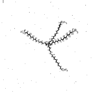 CCCCCCCCCCCCCCC[CH2][Pb]([CH2]CCCCCCCCCCCCCCC)([CH2]CCCCCCCCCCCCCCC)[CH2]CCCCCCCCCCCCCCC